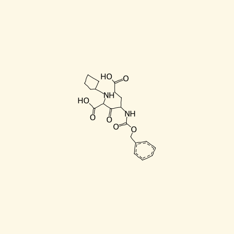 O=C(O)CCC(NC(=O)OCc1ccccc1)C(=O)C(NC1CCCC1)C(=O)O